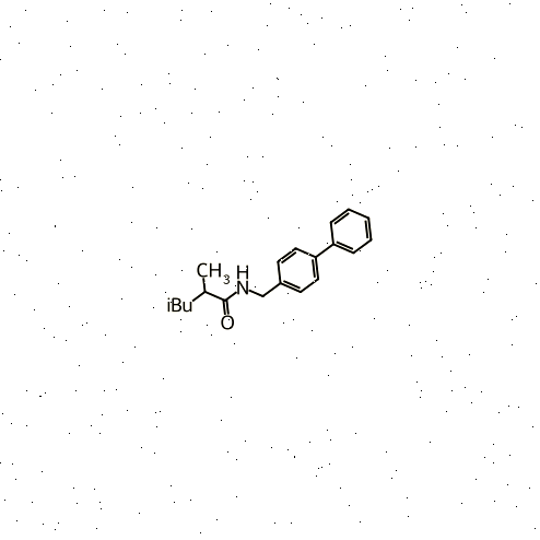 CCC(C)C(C)C(=O)NCc1ccc(-c2ccccc2)cc1